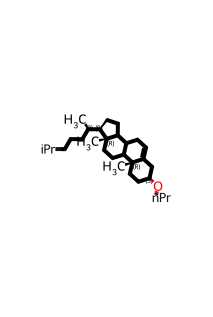 CCCO[C@H]1CC[C@@]2(C)C(=CCC3C2CC[C@@]2(C)C3CC[C@@H]2[C@H](C)CCCC(C)C)C1